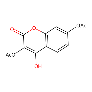 CC(=O)Oc1ccc2c(O)c(OC(C)=O)c(=O)oc2c1